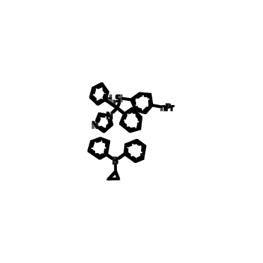 CCCc1ccc([SiH2]C(c2ccccc2)(c2ccccc2)n2ccnc2)cc1.c1ccc(B(c2ccccc2)C2CC2)cc1